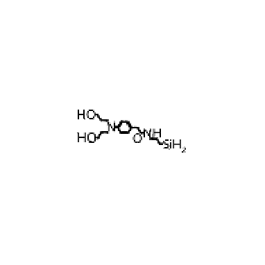 C[SiH2]CCCNC(=O)Cc1ccc(N(CCCO)CCCO)cc1